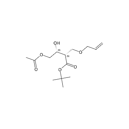 C=CCOC[C@H](C(=O)OC(C)(C)C)[C@@H](O)COC(C)=O